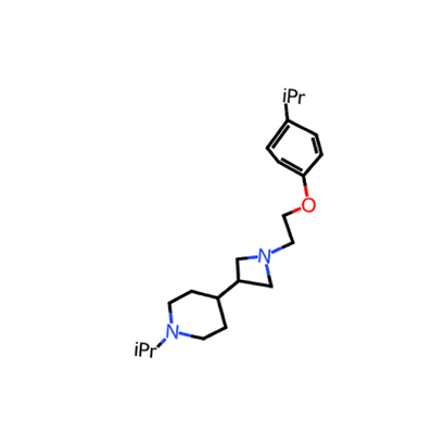 CC(C)c1ccc(OCCN2CC(C3CCN(C(C)C)CC3)C2)cc1